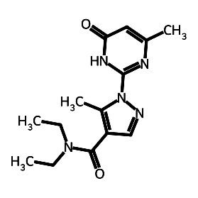 CCN(CC)C(=O)c1cnn(-c2nc(C)cc(=O)[nH]2)c1C